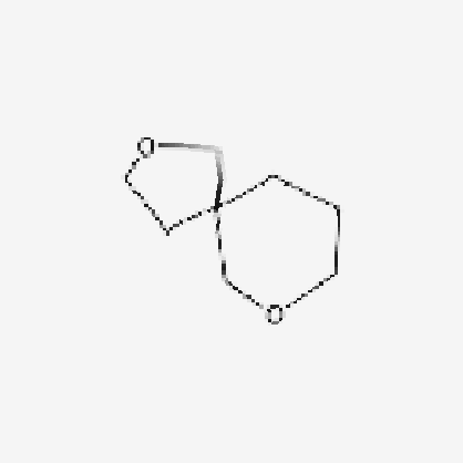 C1COCC2(C1)CCOC2